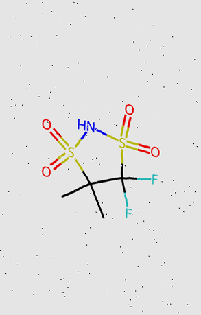 CC1(C)C(F)(F)S(=O)(=O)NS1(=O)=O